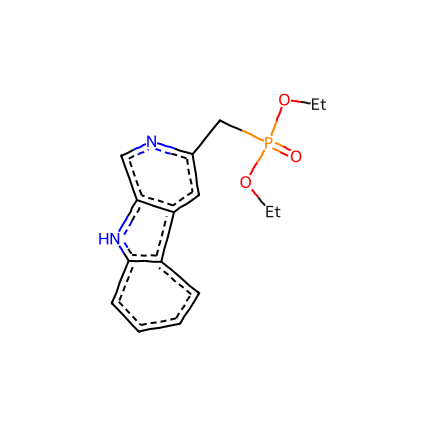 CCOP(=O)(Cc1cc2c(cn1)[nH]c1ccccc12)OCC